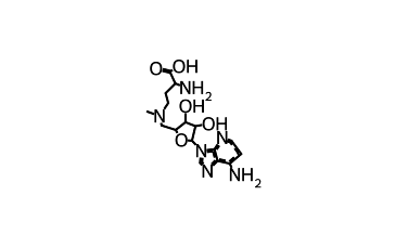 CN(CCC(N)C(=O)O)CC1OC(n2cnc3c(N)ccnc32)C(O)C1O